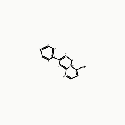 OC1=CC=NC2=NC(c3ccccc3)=NCN12